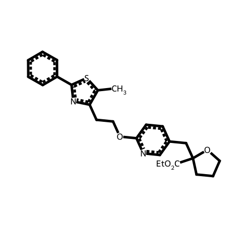 CCOC(=O)C1(Cc2ccc(OCCc3nc(-c4ccccc4)sc3C)nc2)CCCO1